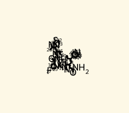 C=C/C(=C\c1c(C(N)=O)nn(CC(=O)N2CC(F)CC2C(=O)Nc2nc(-c3c(C)nc4sccn34)cs2)c1C)c1ccnnc1